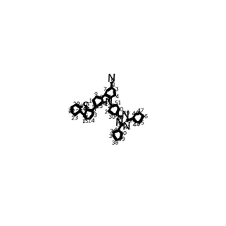 N#Cc1ccc2c(c1)c1ccc(-c3cccc4c3sc3ccccc34)cc1n2-c1ccc(-c2nc(-c3ccccc3)nc(-c3ccccc3)n2)cc1